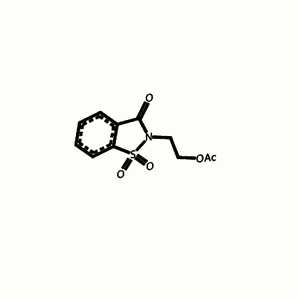 CC(=O)OCCN1C(=O)c2ccccc2S1(=O)=O